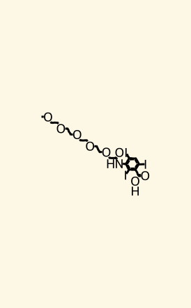 COCCOCCOCCOCCOCC(=O)Nc1c(I)cc(I)c(C(=O)O)c1I